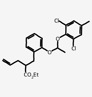 C=CCC(Cc1ccccc1OC(C)Oc1c(Cl)cc(C)cc1Cl)C(=O)OCC